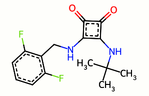 CC(C)(C)Nc1c(NCc2c(F)cccc2F)c(=O)c1=O